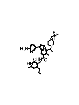 CCCc1cc(C)[nH]c(=O)c1CNC(=O)c1cc2c(-c3ccc(N)nc3)ccn2c(C(C)N2CCN(CC(F)(F)F)CC2)c1C